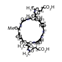 C=C([C@H](/C=C/C)OC(=O)CCC(=O)O)[C@@H]1C/C=C\[C@H]2O[C@H]2/C=C/C=C\c2nc(co2)C(=O)O[C@H](C(C)(C)[C@H](/C=C/C)OC(=O)CCC(=O)O)C/C=C\C2OC2/C=C/[C@H](OC)Cc2nc(co2)C(=O)O1